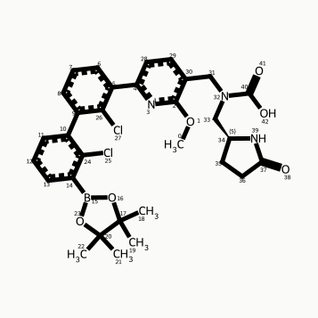 COc1nc(-c2cccc(-c3cccc(B4OC(C)(C)C(C)(C)O4)c3Cl)c2Cl)ccc1CN(C[C@@H]1CCC(=O)N1)C(=O)O